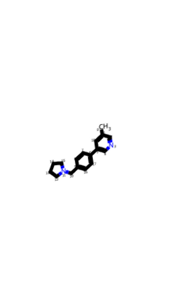 Cc1cncc(-c2ccc(CN3CCCC3)cc2)c1